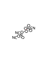 N#Cc1ccc2c(c1)c1ccccc1n2-c1cc(-c2ccc(-c3cccc(C#N)c3-n3c4ccccc4c4ccccc43)cc2)ccc1C#N